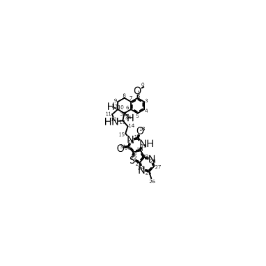 COc1cccc2c1CC[C@H]1CNC(CCn3c(=O)[nH]c4c(sc5nc(C)cnc54)c3=O)[C@@H]21